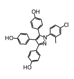 Cc1cc(Cl)ccc1-n1nc(-c2ccc(O)cc2)c(-c2ccc(O)cc2)c1-c1ccc(O)cc1